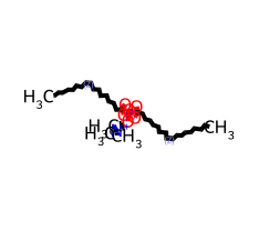 CCCCCCCC/C=C\CCCCCCCC(=O)OP(=O)(OCC[N+](C)(C)C)OC(=O)CCCCCCC/C=C\CCCCCCCC